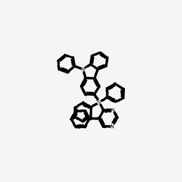 c1ccc(-c2cncnc2[Si](c2ccccc2)(c2ccccc2)c2ccc3c(c2)c2ccccc2n3-c2ccccc2)cc1